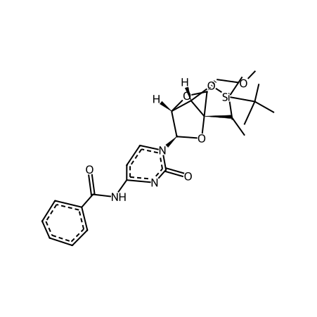 CC[C@]12O[C@@H](n3ccc(NC(=O)c4ccccc4)nc3=O)[C@H](O[C@@H]1COC)[C@@H]2O[Si](C)(C)C(C)(C)C